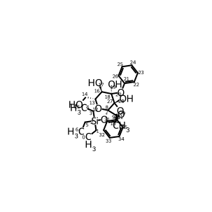 CC[Si](CC)(CC)O[C@]1(C(C)=O)O[C@H](CO)[C@@H](O)[C@@](O)(Oc2ccccc2)[C@]1(O)Oc1ccccc1